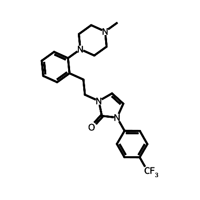 CN1CCN(c2ccccc2CCn2ccn(-c3ccc(C(F)(F)F)cc3)c2=O)CC1